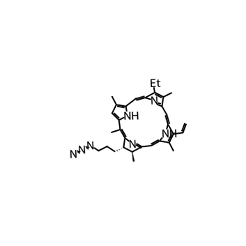 C=Cc1c(C)c2cc3nc(c(C)c4cc(C)c(cc5nc(cc1[nH]2)C(C)=C5CC)[nH]4)[C@@H](CCCN=[N+]=[N-])[C@@H]3C